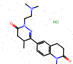 CC1CC(=O)N(CCN(C)C)N=C1c1ccc2c(c1)CCC(=O)N2C.Cl